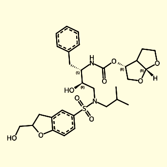 CC(C)CN(C[C@@H](O)[C@H](Cc1ccccc1)NC(=O)O[C@H]1CO[C@H]2OCCC21)S(=O)(=O)c1ccc2c(c1)CC(CO)O2